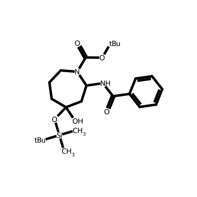 CC(C)(C)OC(=O)N1CCCC(O)(O[Si](C)(C)C(C)(C)C)CC1NC(=O)c1ccccc1